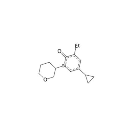 CCc1cc(C2CC2)cn(C2CCCOC2)c1=O